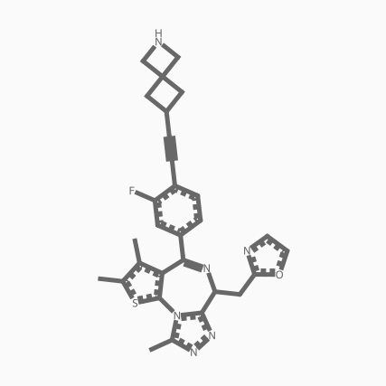 Cc1sc2c(c1C)C(c1ccc(C#CC3CC4(CNC4)C3)c(F)c1)=NC(Cc1ncco1)c1nnc(C)n1-2